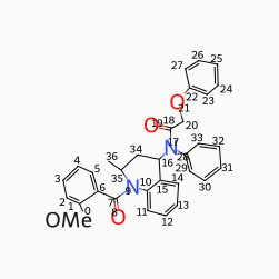 COc1ccccc1C(=O)N1c2ccccc2C(N(C(=O)COc2ccccc2)c2ccccc2)CC1C